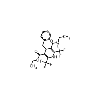 CCOC(=O)C1=C(C(F)(F)F)NC(C(F)(F)F)=C(C(=O)OCC)C1Cc1ccccc1